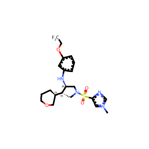 Cn1cnc(S(=O)(=O)N2C[C@H]([C@@H]3CCCOC3)[C@@H](Nc3cccc(OCC(F)(F)F)c3)C2)c1